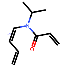 C=C/C=C\N(C(=O)C=C)C(C)C